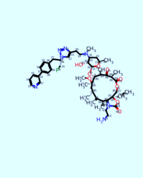 C=C1[C@H](C)C[C@@](C)(OC)[C@H](O[C@@H]2O[C@H](C)C[C@H](N(C)CCc3cn([C@H](CF)Cc4ccc(-c5cccnc5)cc4)nn3)[C@H]2O)[C@@H](C)C(=O)[C@@H](C)C(=O)O[C@H](CC)[C@@]2(C)OC(=O)N(CCN)[C@@H]2[C@H]1C